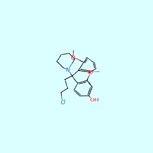 COc1ccccc1C(CCCCl)(c1ccc(O)cc1OC)N1CCCCC1